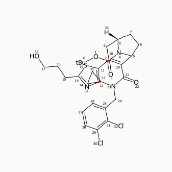 CC(C)(C)OC(=O)N1C2CC[C@H]1CC(c1cnc(CCCO)s1)=C2C(=O)N(Cc1cccc(Cl)c1Cl)C1CC1